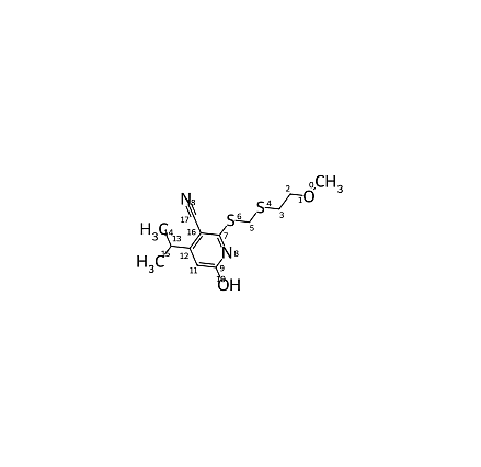 COCCSCSc1nc(O)cc(C(C)C)c1C#N